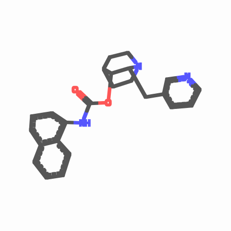 O=C(Nc1cccc2ccccc12)OC1C2CCN(CC2)C1Cc1cccnc1